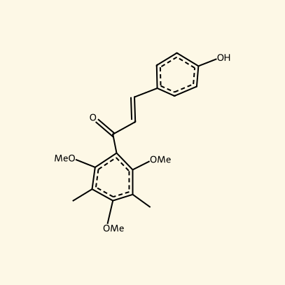 COc1c(C)c(OC)c(C(=O)C=Cc2ccc(O)cc2)c(OC)c1C